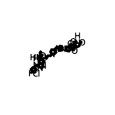 C=CC(=O)Nc1cc2c(Nc3ccc(F)c(Cl)c3)ncnc2cc1OCCCN1CCC(CN2CCN(c3ccc4c(c3)C(=O)N(C3CCC(=O)NC3=O)C4=O)CC2)CC1